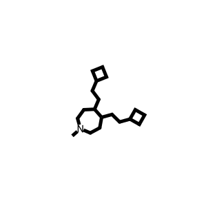 CN1CCC(CCC2CCC2)C(CCC2CCC2)CC1